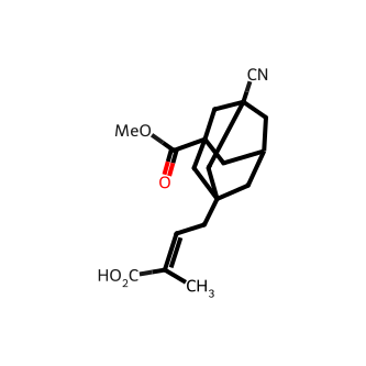 COC(=O)C12CC3CC(C#N)(CC(CC=C(C)C(=O)O)(C3)C1)C2